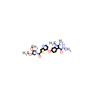 CNC(=O)c1c(C)n(C)c2cc(Oc3ccnc4cc(C(=O)N5C[C@H](OC)[C@H](OC)C5)sc34)ccc12